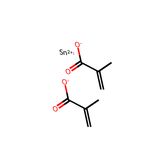 C=C(C)C(=O)[O-].C=C(C)C(=O)[O-].[Sn+2]